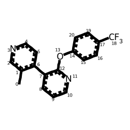 Cc1cnccc1-c1cccnc1Oc1ccc(C(F)(F)F)cc1